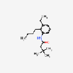 CCCCc1c(CC)cccc1NC(=O)CC(C)(C)C